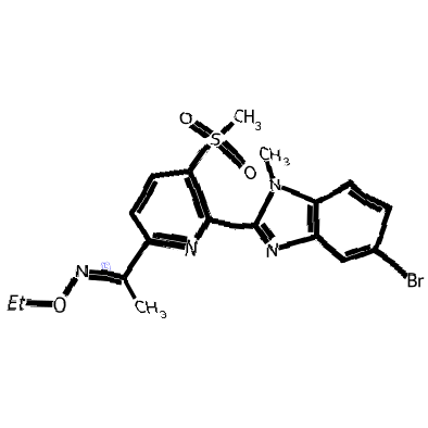 CCO/N=C(\C)c1ccc(S(C)(=O)=O)c(-c2nc3cc(Br)ccc3n2C)n1